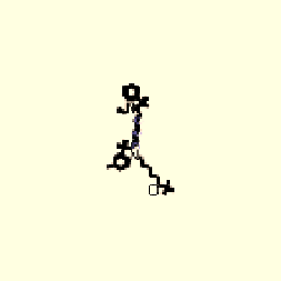 CC[N+]1=C(/C=C/C=C/C=C2/N(CCCCCC(=O)C(C)(C)C)c3ccc(C)cc3C2(C)C)C(C)(C)c2ccccc21